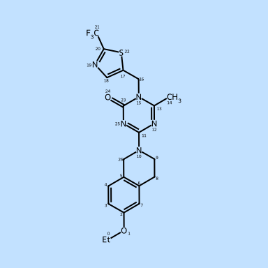 CCOc1ccc2c(c1)CCN(c1nc(C)n(Cc3cnc(C(F)(F)F)s3)c(=O)n1)C2